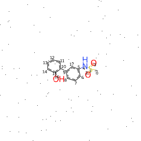 CS(=O)(=O)Nc1cccc(-c2[c]cccc2O)c1